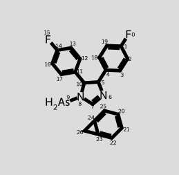 Fc1ccc(C2N=CN([AsH2])C2c2ccc(F)cc2)cc1.c1ccc2c(c1)C2